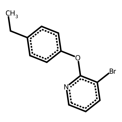 CCc1ccc(Oc2ncccc2Br)cc1